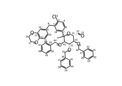 CC1(c2ccc(Cl)c(Cc3ccc4c(c3)OCCO4)c2)O[C@H](C=O)[C@@H](OCc2ccccc2)[C@H](OCc2ccccc2)[C@H]1OCc1ccccc1